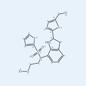 CCOCCN(c1cccc2c1NC(c1ncc(CCl)s1)C2)S(=O)(=O)c1cccs1